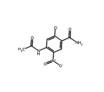 CC(=O)Nc1cc(Cl)c(C(N)=O)cc1[N+](=O)[O-]